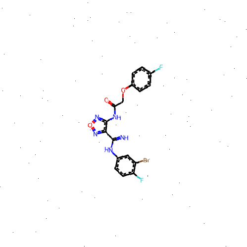 N=C(Nc1ccc(F)c(Br)c1)c1nonc1NC(=O)COc1ccc(F)cc1